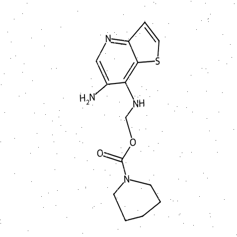 Nc1cnc2ccsc2c1NCOC(=O)N1CCCCC1